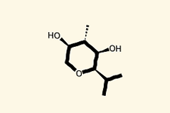 CC(C)[C@H]1OC[C@@H](O)[C@H](C)[C@H]1O